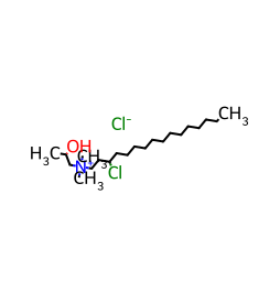 CCCCCCCCCCCCCC(Cl)CC[N+](C)(C)CC(C)O.[Cl-]